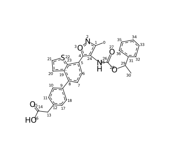 Cc1noc(-c2ccc(-c3ccc(CC(=O)O)cc3)c3ccsc23)c1NC(=O)OC(C)c1ccccc1